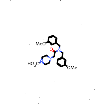 COc1cccc(CN(Cc2cccc(OC)c2)C(=O)CN2CCN(C(=O)O)CC2)c1